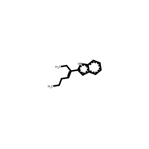 CCCC=C(CC)c1cc2ccccc2[nH]1